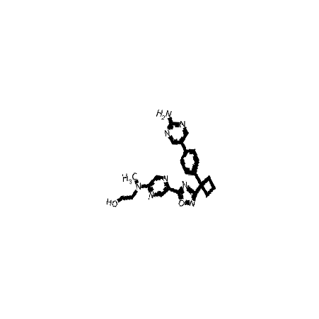 CN(CCO)c1cnc(-c2nc(C3(c4ccc(-c5cnc(N)nc5)cc4)CCC3)no2)cn1